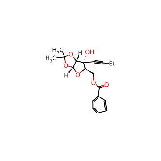 CCC#C[C@@]1(O)[C@@H](COC(=O)c2ccccc2)O[C@@H]2OC(C)(C)O[C@@H]21